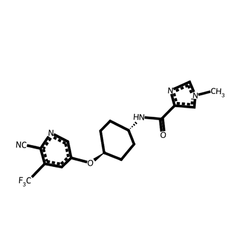 Cn1cnc(C(=O)N[C@H]2CC[C@H](Oc3cnc(C#N)c(C(F)(F)F)c3)CC2)c1